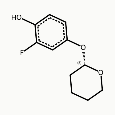 Oc1ccc(O[C@H]2CCCCO2)cc1F